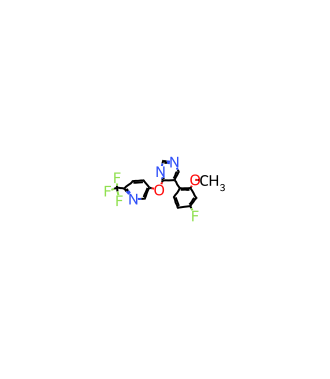 COc1cc(F)ccc1-c1cncnc1Oc1ccc(C(F)(F)F)nc1